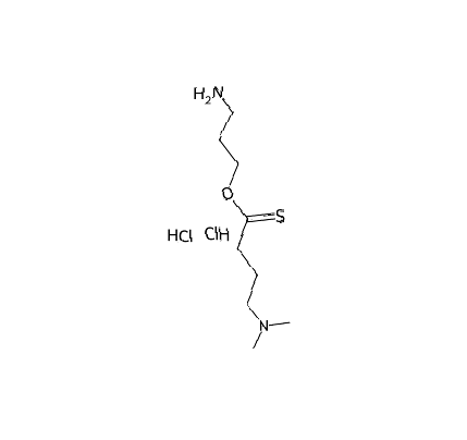 CN(C)CCCC(=S)OCCCN.Cl.Cl